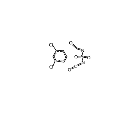 Clc1cccc(Cl)c1.O=C=NS(=O)(=O)N=C=O